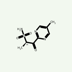 Cc1cnc(C(=O)[C@@H](C)S(N)(=O)=O)nc1